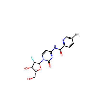 O=C(Nc1ccn([C@H]2O[C@H](CO)[C@@H](O)[C@H]2F)c(=O)n1)c1ccc([N+](=O)[O-])cn1